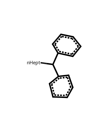 CCCCCCCC(c1ccccc1)c1ccccc1